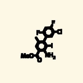 COC(=O)c1cc(C)c(-c2cc(Cl)c(F)cc2F)c(I)c1N